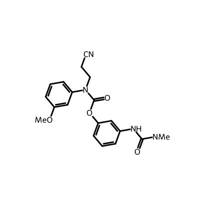 CNC(=O)Nc1cccc(OC(=O)N(CCC#N)c2cccc(OC)c2)c1